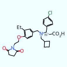 CCc1cc(CN(CC2CCC2)[C@@H](CC(=O)O)c2ccc(Cl)cc2)ccc1OCCN1C(=O)CCC1=O